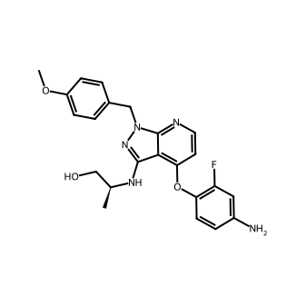 COc1ccc(Cn2nc(N[C@@H](C)CO)c3c(Oc4ccc(N)cc4F)ccnc32)cc1